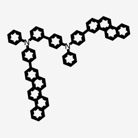 c1ccc(N(c2ccc(-c3cccc(N(c4ccccc4)c4ccc(-c5ccc6c(ccc7c6ccc6c8ccccc8ccc67)c5)cc4)c3)cc2)c2ccc(-c3ccc4ccc5c6ccccc6ccc5c4c3)cc2)cc1